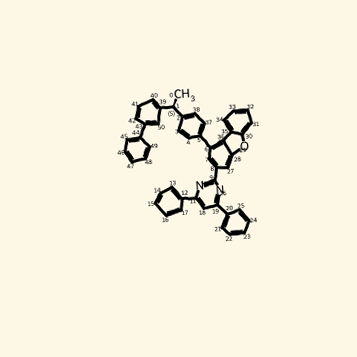 C[C@@H](c1ccc(-c2cc(-c3nc(-c4ccccc4)cc(-c4ccccc4)n3)cc3oc4ccccc4c23)cc1)c1cccc(-c2ccccc2)c1